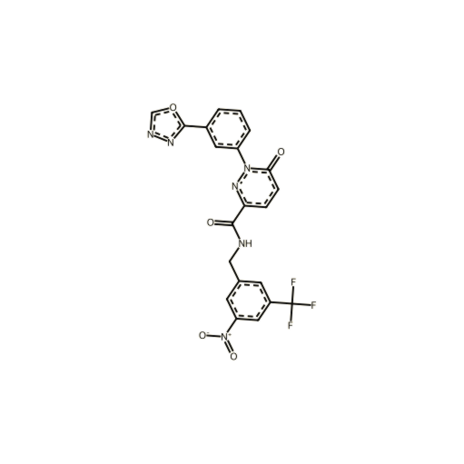 O=C(NCc1cc([N+](=O)[O-])cc(C(F)(F)F)c1)c1ccc(=O)n(-c2cccc(-c3nnco3)c2)n1